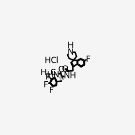 CNC(=O)[C@@H](Cc1cc(F)c(F)c(F)c1)NC(=O)CC1=CC2(CCNCC2)c2cc(F)ccc21.Cl